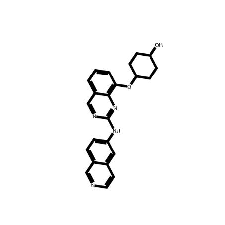 OC1CCC(Oc2cccc3cnc(Nc4ccc5cnccc5c4)nc23)CC1